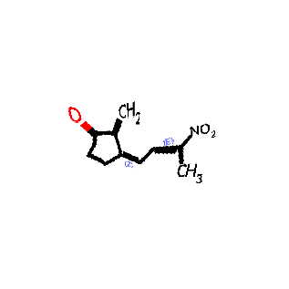 C=C1C(=O)CC/C1=C/C=C(\C)[N+](=O)[O-]